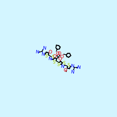 COc1cc(N=C(C#N)C#N)sc1-c1nc2sc3c(c2s1)OC(C(=O)OCc1ccccc1)(C(=O)OCc1ccccc1)c1c-3sc2nc(-c3sc(N=C(C#N)C#N)cc3OC)sc12